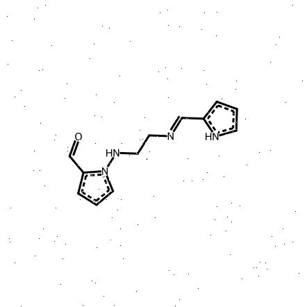 O=Cc1cccn1NCCN=Cc1ccc[nH]1